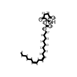 CCCCC/C=C\C/C=C\CCCCCCCCOC(=O)O[N+]1(O)C(=O)CCC1=O